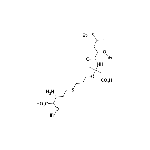 CCSC(C)CC(OC(C)C)C(=O)NC(C)(CC(=O)O)OCCCSCC[C@@H](N)C(OC(C)C)C(=O)O